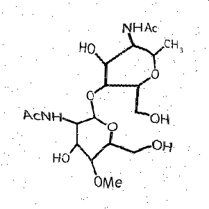 COC1C(CO)OC(OC2C(CO)OC(C)C(NC(C)=O)C2O)C(NC(C)=O)C1O